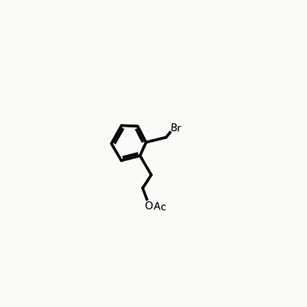 CC(=O)OCCc1ccccc1CBr